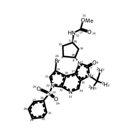 [2H]C([2H])([2H])n1c(=O)n([C@@H]2CC[C@@H](NC(=O)OC)C2)c2c3c(Br)cn(S(=O)(=O)c4ccccc4)c3ncc21